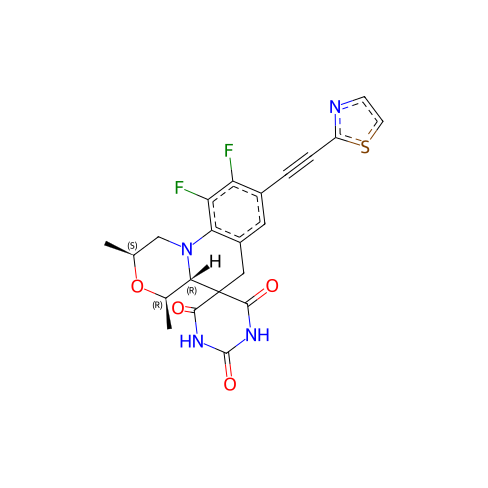 C[C@H]1CN2c3c(cc(C#Cc4nccs4)c(F)c3F)CC3(C(=O)NC(=O)NC3=O)[C@@H]2[C@@H](C)O1